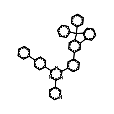 c1ccc(-c2ccc(-c3nc(-c4cccnc4)nc(-c4cccc(-c5ccc6c(c5)-c5ccccc5C6(c5ccccc5)c5ccccc5)c4)n3)cc2)cc1